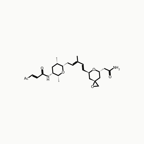 CC(=O)C=CC(=O)N[C@@H]1C[C@H](C)[C@H](CC=C(C)C=C[C@@H]2C[C@]3(CO3)C[C@@H](CC(N)=O)O2)O[C@@H]1C